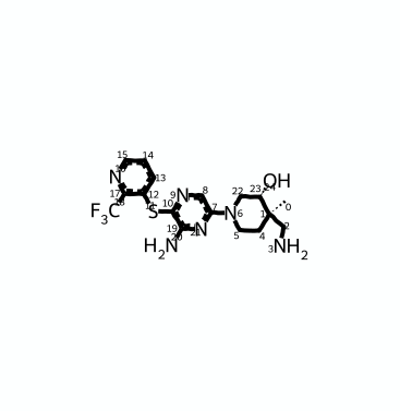 C[C@]1(CN)CCN(c2cnc(Sc3cccnc3C(F)(F)F)c(N)n2)C[C@@H]1O